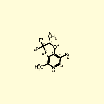 Cc1cc(O[C@@H](C)C(F)(F)F)c(Br)cn1